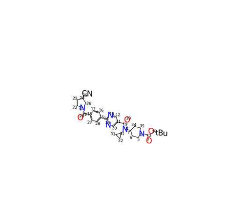 CC(C)(C)OC(=O)N1CCC(N(C(=O)c2cnc(-c3ccc(C(=O)N4CCC(C#N)C4)cc3)nc2)C2CC2)CC1